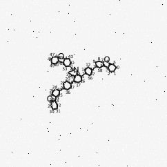 c1ccc2c(c1)oc1ccc(-c3ccc(-c4ccc(-c5ccc(-c6ccc7oc8ccccc8c7c6)cc5)c5sc(-c6ccc7oc8ccccc8c7c6)nc45)cc3)cc12